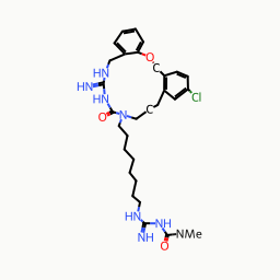 CNC(=O)NC(=N)NCCCCCCCCN1CCCc2cc(Cl)ccc2COc2ccccc2CNC(=N)NC1=O